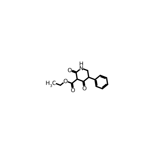 CCOC(=O)C1C(=O)NCC(c2ccccc2)C1=O